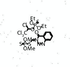 CCOP(=S)(OCC)OC(Cl)C(Cl)(Cl)Cl.COP(=S)(OC)SCn1nnc2ccccc2c1=O